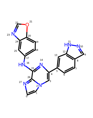 c1cn2cc(-c3ccc4cn[nH]c4c3)nc(Nc3ccc4ocnc4c3)c2n1